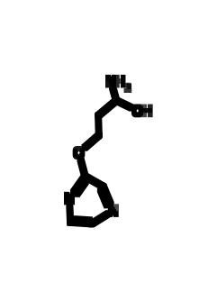 NC(O)CCOc1cnccn1